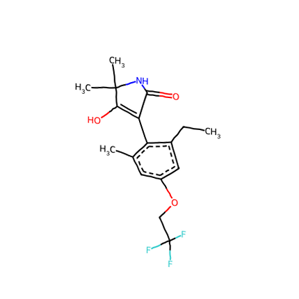 CCc1cc(OCC(F)(F)F)cc(C)c1C1=C(O)C(C)(C)NC1=O